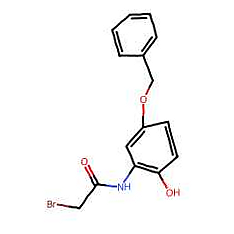 O=C(CBr)Nc1cc(OCc2ccccc2)ccc1O